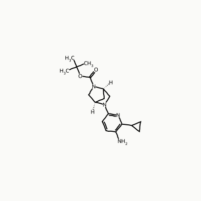 CC(C)(C)OC(=O)N1C[C@H]2C[C@@H]1CN2c1ccc(N)c(C2CC2)n1